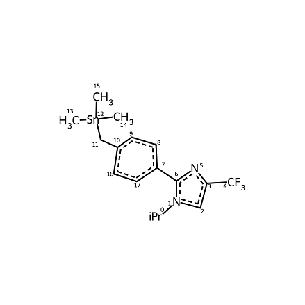 CC(C)n1cc(C(F)(F)F)nc1-c1ccc([CH2][Sn]([CH3])([CH3])[CH3])cc1